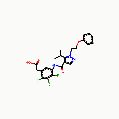 CC(C)c1c(C(=O)Nc2cc(CC(=O)O)c(Cl)c(Cl)c2F)cnn1CCOc1ccccc1